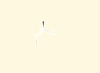 CS[C@@H](C)S